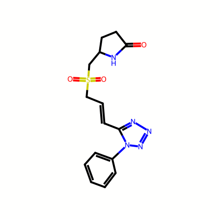 O=C1CCC(CS(=O)(=O)CC=Cc2nnnn2-c2ccccc2)N1